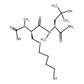 CCCC(=O)N(C)[C@H](CSCCCCS)C(=O)N(C)[C@@H](CC(C)(C)O)C(N)=O